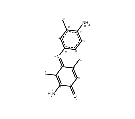 CC1=CC(=O)C(N)=C(C)C1=Nc1ccc(N)c(C)c1